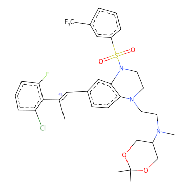 C/C(=C\c1ccc2c(c1)N(S(=O)(=O)c1cccc(C(F)(F)F)c1)CCN2CCN(C)C1COC(C)(C)OC1)c1c(F)cccc1Cl